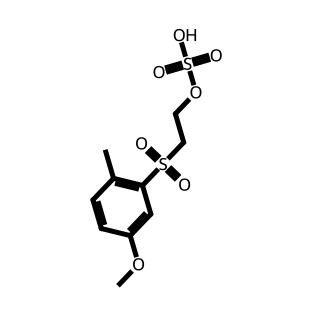 COc1ccc(C)c(S(=O)(=O)CCOS(=O)(=O)O)c1